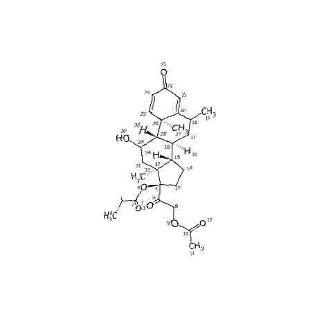 CCC(=O)O[C@]1(C(=O)COC(C)=O)CC[C@H]2[C@@H]3CC(C)C4=CC(=O)C=C[C@]4(C)[C@H]3C(O)C[C@@]21C